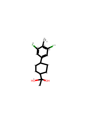 CC(O)(O)C1CCC(c2cc(F)c(C(F)(F)F)c(F)c2)CC1